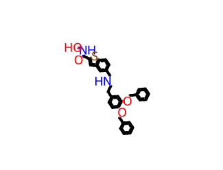 O=C(NO)c1cc2cc(CNCCc3ccc(OCc4ccccc4)c(OCc4ccccc4)c3)ccc2s1